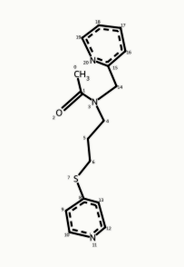 CC(=O)N(CCCSc1ccncc1)Cc1ccccn1